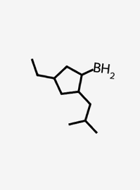 BC1CC(CC)CC1CC(C)C